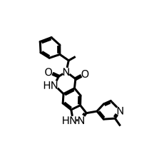 Cc1cc(-c2n[nH]c3cc4[nH]c(=O)n(C(C)c5ccccc5)c(=O)c4cc23)ccn1